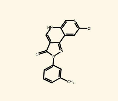 Cc1cccc(-n2nc3c4cc(Cl)ncc4[nH]cc-3c2=O)c1